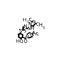 CC(=O)N1CCN(C(=O)c2cc(Sc3cnc(Nc4cc(C)nc(C)n4)s3)ccc2O)CC1